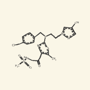 Cc1sc(N(CCn2cc(C#N)cn2)Cc2ccc(Cl)cc2)nc1C(=O)NS(C)(=O)=O